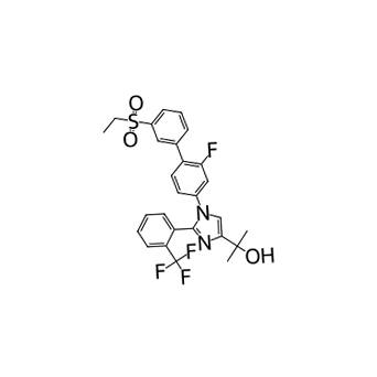 CCS(=O)(=O)c1cccc(-c2ccc(-n3cc(C(C)(C)O)nc3-c3ccccc3C(F)(F)F)cc2F)c1